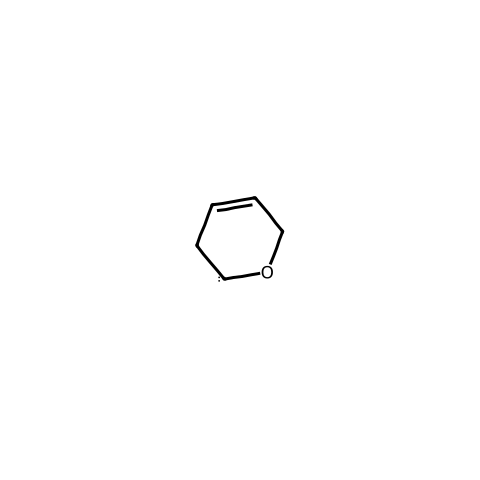 [C]1CC=CCO1